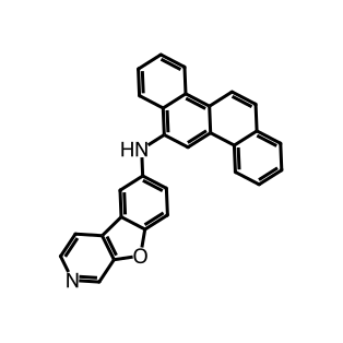 c1ccc2c(c1)ccc1c3ccccc3c(Nc3ccc4oc5cnccc5c4c3)cc21